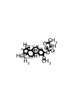 COc1cc2c(cc1OS(=O)(=O)NC(C)=O)CC[C@@H]1[C@@H]2CC[C@]2(C)[C@@H](O)C[C@@H]3C[C@]312